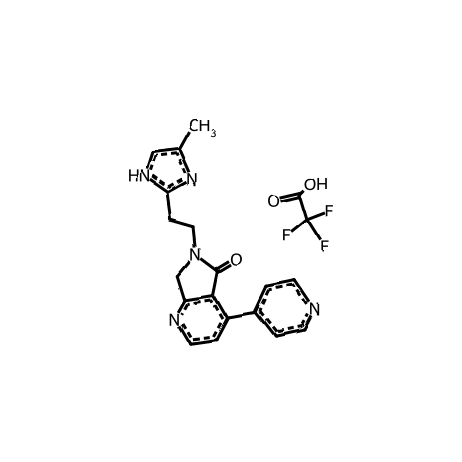 Cc1c[nH]c(CCN2Cc3nccc(-c4ccncc4)c3C2=O)n1.O=C(O)C(F)(F)F